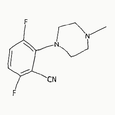 CN1CCN(c2c(F)ccc(F)c2C#N)CC1